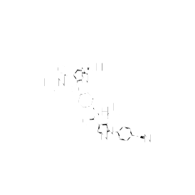 Cc1c(C(=O)N[C@H]2CC[C@H](Oc3nn(C)cc3C(N)=O)CC2)cnn1-c1ccc(C#N)cc1